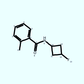 Cc1ccccc1C(=O)NC1CC(F)C1